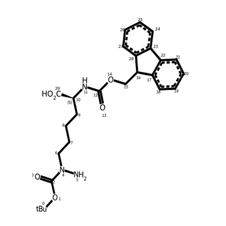 CC(C)(C)OC(=O)N(N)CCCC[C@H](NC(=O)OCC1c2ccccc2-c2ccccc21)C(=O)O